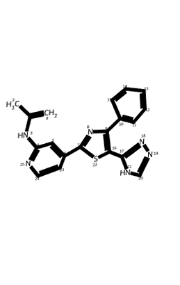 C=C(C)Nc1cc(-c2nc(-c3ccccc3)c(-c3nnc[nH]3)s2)ccn1